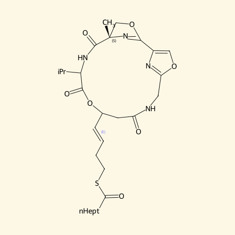 CCCCCCCC(=O)SCC/C=C/C1CC(=O)NCc2nc(co2)C2=N[C@@](C)(CO2)C(=O)NC(C(C)C)C(=O)O1